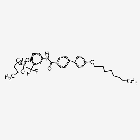 CCCCCCCCOc1ccc(-c2ccc(C(=O)Nc3cccc(C(F)(F)P(=O)(O)OC(C)CC)c3)cc2)cc1